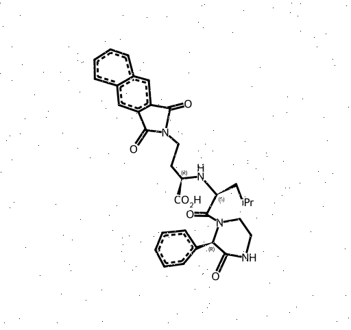 CC(C)C[C@H](N[C@H](CCN1C(=O)c2cc3ccccc3cc2C1=O)C(=O)O)C(=O)N1CCNC(=O)[C@H]1c1ccccc1